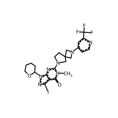 Cn1c(N2CCC3(CN(c4ccnc(C(F)(F)F)c4)C3)C2)nc2c(c(I)nn2C2CCCCO2)c1=O